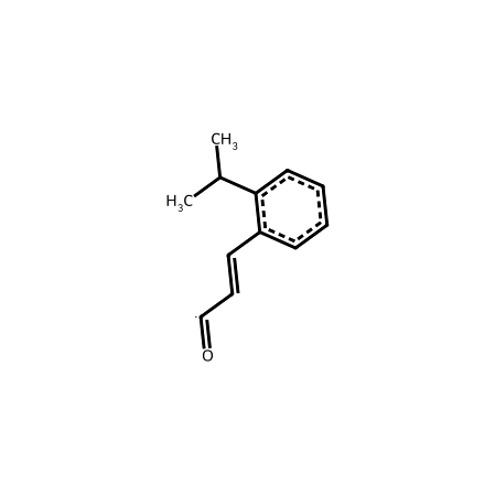 CC(C)c1ccccc1C=C[C]=O